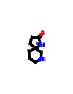 O=C1CCC2(CCCNC2)N1